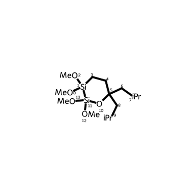 CO[Si]1(OC)CCC(CC(C)C)(CC(C)C)O[Si]1(OC)OC